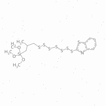 CO[Si](CC(C)CSSSSSSSc1nc2ccccc2s1)(OC)OC